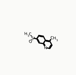 Cc1ccnc2cc([S+](C)[O-])ccc12